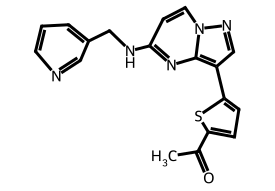 CC(=O)c1ccc(-c2cnn3ccc(NCc4cccnc4)nc23)s1